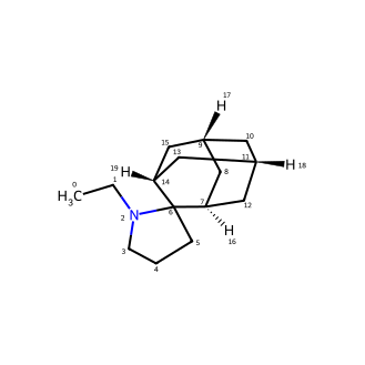 CCN1CCCC12[C@H]1C[C@H]3C[C@H](C1)C[C@H]2C3